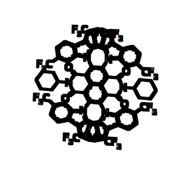 O=C1c2c(-n3c4cc(C(F)(F)F)ccc4c4ccc(C(F)(F)F)cc43)c(-n3c4cc(C(F)(F)F)ccc4c4ccc(C(F)(F)F)cc43)c3c4c(c(-n5c6cc(C(F)(F)F)ccc6c6ccc(C(F)(F)F)cc65)c(-n5c6cc(C(F)(F)F)ccc6c6ccc(C(F)(F)F)cc65)c(c24)C(=O)N1C1CCCCC1)C(=O)N(C1CCCCC1)C3=O